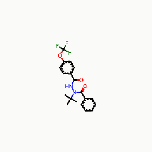 CC(C)(C)N(NC(=O)c1ccc(OC(F)(F)F)cc1)C(=O)c1ccccc1